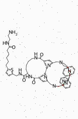 NCCNC(=O)CCCCCc1ccc(CNC(=O)C2CCCCNC(=O)c3cc4nc(c3)-c3cc(cc(n3)CN3Cc5cccc(n5)-c5cccc(n5)CN(Cc5cccc(n5)-c5cccc(n5)C3)C4)C(=O)N2)s1